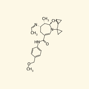 C/C=N\[C@H]1CC(C(=O)Nc2ccc(COC)cc2)=CN(C2(C3CC3)CC2)[C@H](C)[C@H]1C